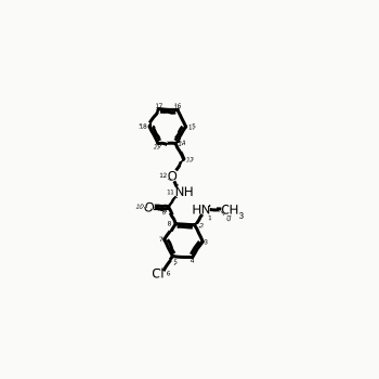 CNc1ccc(Cl)cc1C(=O)NOCc1ccccc1